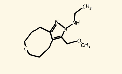 CCNn1nc2c(c1COC)CCCCCCC2